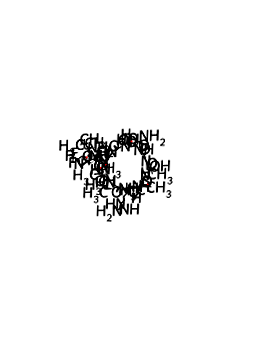 CC[C@H](C)[C@@H]1NC(=O)[C@@H](CCCNC(=N)N)NC(=O)[C@H](CC(C)C)NC(=O)[C@H]([C@H](O)C(C)C)NC(=O)[C@@H](NC(=O)[C@H](Cc2ccc(C(F)(F)F)nc2)NC(=O)[C@H](N)CC(C)(C)C)[C@@H](c2ccccc2)NC(=O)[C@H](CO)NC(=O)[C@H]([C@H](O)C(N)=O)NC(=O)CNC(=O)[C@H]([C@H](C)O)NC1=O